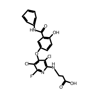 O=C(O)CCNc1nc(F)c(Cl)c(Oc2ccc(O)c(C(=O)Nc3ccccc3)c2)c1Cl